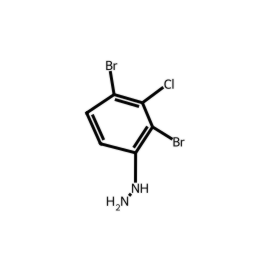 NNc1ccc(Br)c(Cl)c1Br